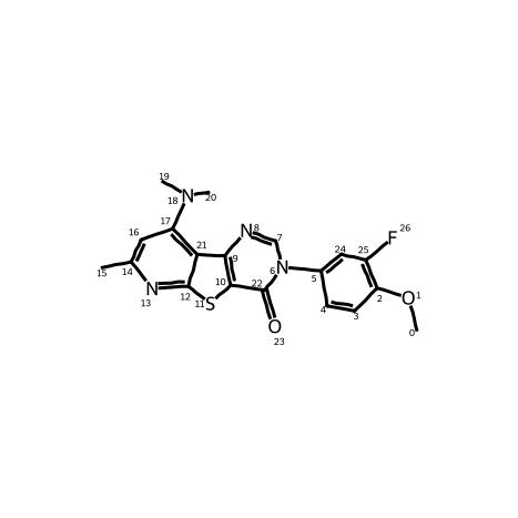 COc1ccc(-n2cnc3c(sc4nc(C)cc(N(C)C)c43)c2=O)cc1F